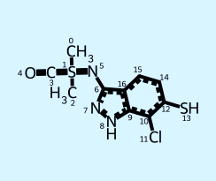 CS(C)(=C=O)=Nc1n[nH]c2c(Cl)c(S)ccc12